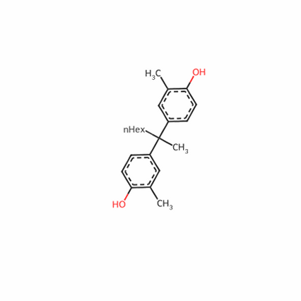 CCCCCCC(C)(c1ccc(O)c(C)c1)c1ccc(O)c(C)c1